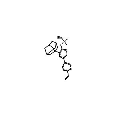 C=Cc1ccc(-c2ccc(O[Si](C)(C)C(C)(C)C)c(C34CC5CC(CC(C5)C3)C4)c2)cc1